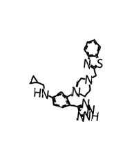 c1ccc2sc(CN3CCN(c4cc(NCC5CC5)ccc4-c4nn[nH]n4)CC3)nc2c1